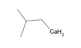 CC(C)[CH2][GaH2]